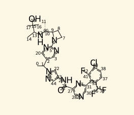 CC(c1cnc(N2CCC2[C@@H](C)NC(C)C(C)(C)O)nc1)n1cc(NC(=O)c2cncc(-c3c(C(F)F)ccc(Cl)c3F)n2)cn1